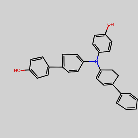 Oc1ccc(-c2ccc(N(C3=CC=C(c4ccccc4)CC3)c3ccc(O)cc3)cc2)cc1